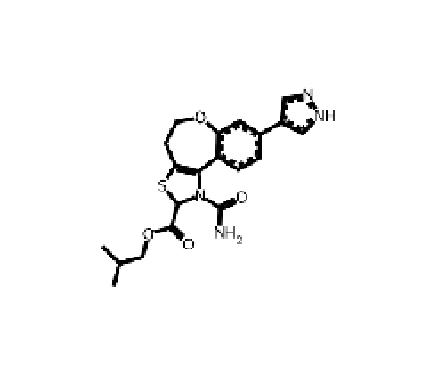 CC(C)COC(=O)C1SC2=C(c3ccc(-c4cn[nH]c4)cc3OCC2)N1C(N)=O